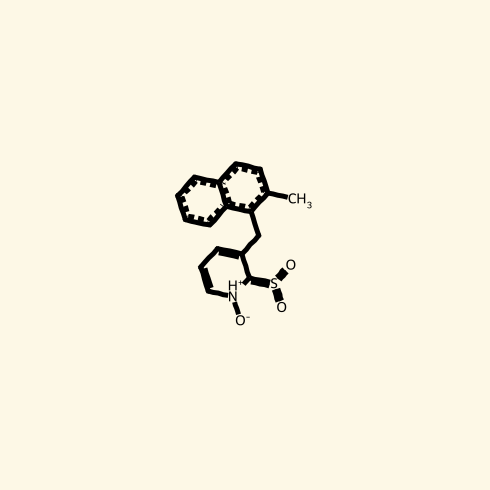 Cc1ccc2ccccc2c1CC1=CC=C[NH+]([O-])C1=S(=O)=O